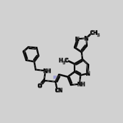 Cc1c(-c2cnn(C)c2)cnc2[nH]cc(/C=C(\C#N)C(=O)NCc3ccccc3)c12